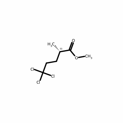 COC(=O)[C@@H](C)CCC(Cl)(Cl)Cl